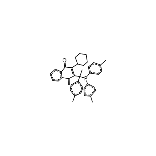 C=C1C(C(C)(c2ccc(C)cc2)P(c2ccc(C)cc2)c2ccc(C)cc2)=C(C2CCCCC2)C(=O)c2ccccc21